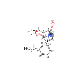 C=Cc1cc2ccc1c(=O)[nH]c2=O.O=C(O)c1ccccc1